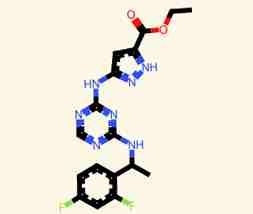 CCOC(=O)c1cc(Nc2ncnc(NC(C)c3ccc(F)cc3F)n2)n[nH]1